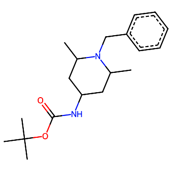 CC1CC(NC(=O)OC(C)(C)C)CC(C)N1Cc1ccccc1